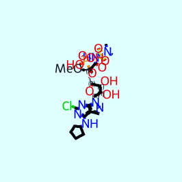 COC[C@](OC[C@H]1O[C@@H](n2ncc3c(NC4CCCC4)nc(Cl)nc32)[C@H](O)[C@@H]1O)(C(=O)NS(=O)(=O)N(C)C)P(=O)(O)O